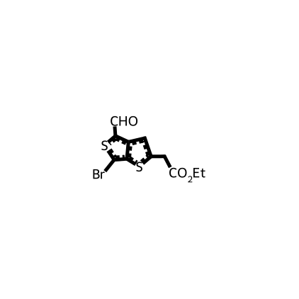 CCOC(=O)Cc1cc2c(C=O)sc(Br)c2s1